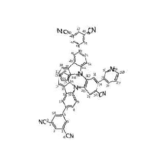 N#Cc1cc(C#N)cc(-c2ccc3c(c2)c2ccccc2n3-c2cc(C#N)c(-c3cccnc3)cc2-n2c3ccccc3c3cc(-c4cc(C#N)cc(C#N)c4)ccc32)c1